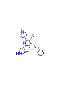 C[C@H]1CNCCN1c1nc(N2CCN(C)CC2)c(C#N)c2c1CCN(Cc1ccccc1)C2